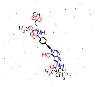 COC(=O)CC[C@H](NC(=O)c1ccc(C#Cn2cnc3nc(NC(=O)C(C)(C)C)cc-3c2O)cc1)C(=O)OC